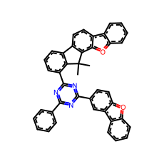 CC1(C)c2c(-c3nc(-c4ccccc4)nc(-c4ccc5oc6ccccc6c5c4)n3)cccc2-c2ccc3c(oc4ccccc43)c21